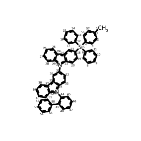 Cc1ccc([Si](c2ccccc2)(c2ccccc2)c2ccc3c(c2)c2ccccc2n3-c2ccc3c(c2)c2ccccc2n3-c2ccccc2-c2ccccc2)cc1